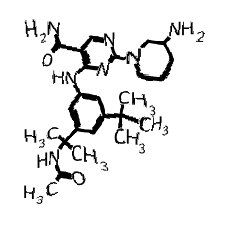 CC(=O)NC(C)(C)c1cc(Nc2nc(N3CCCC(N)C3)ncc2C(N)=O)cc(C(C)(C)C)c1